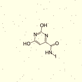 O=C(NI)c1cc(O)nc(O)n1